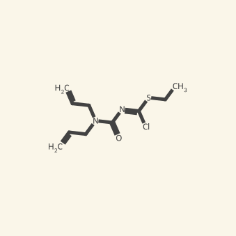 C=CCN(CC=C)C(=O)/N=C(\Cl)SCC